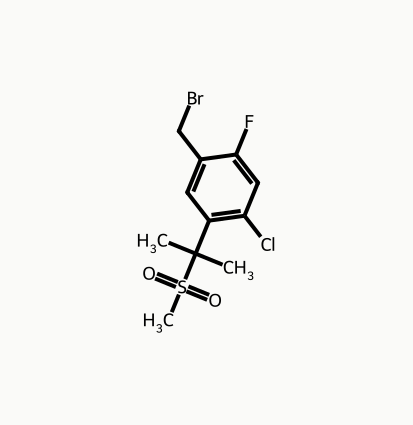 CC(C)(c1cc(CBr)c(F)cc1Cl)S(C)(=O)=O